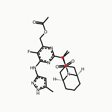 CCS(=O)(=O)N1[C@@H]2CCC[C@H]1C[C@@H](N(C)c1nc(COC(C)=O)c(F)c(Nc3cc(C)[nH]n3)n1)C2